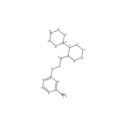 Bc1cccc(CCOC2CCCCC2N2CCOCC2)c1